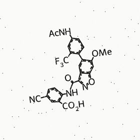 COc1cc2onc(C(=O)Nc3ccc(C#N)cc3C(=O)O)c2cc1-c1ccc(NC(C)=O)cc1C(F)(F)F